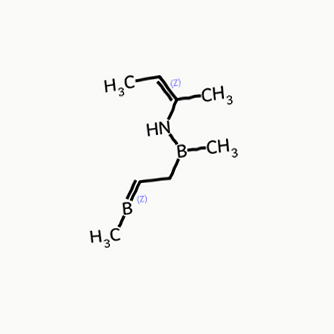 C/B=C\CB(C)N/C(C)=C\C